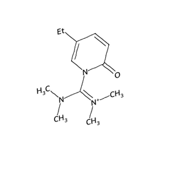 CCc1ccc(=O)n(C(N(C)C)=[N+](C)C)c1